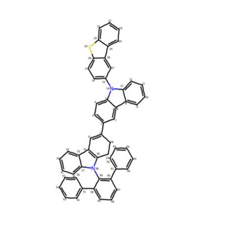 C1=C(c2ccc3c(c2)c2ccccc2n3-c2ccc3sc4ccccc4c3c2)CCc2c1c1ccccc1n2-c1c(-c2ccccc2)cccc1-c1ccccc1